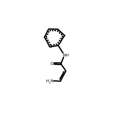 N/C=C\C(=O)Nc1ccccc1